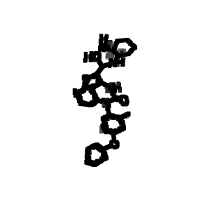 Cc1cc(Oc2ccccc2)ncc1N1C(=O)Nc2c(C(O)N[C@@H]3CCCC[C@@H]3N)sc3nccc1c23